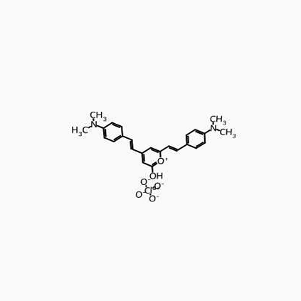 CN(C)c1ccc(C=Cc2cc(O)[o+]c(C=Cc3ccc(N(C)C)cc3)c2)cc1.[O-][Cl+3]([O-])([O-])[O-]